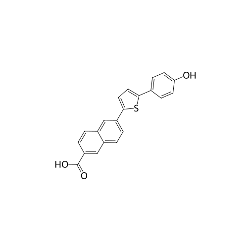 O=C(O)c1ccc2cc(-c3ccc(-c4ccc(O)cc4)s3)ccc2c1